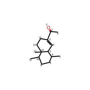 CC(=O)C1=CC2C(C)CCC(C)C2(C)CC1